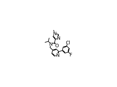 CC(C)N(Cc1ccnc(-c2cc(F)cc(Cl)c2)c1)C(=O)c1cn(C)cn1